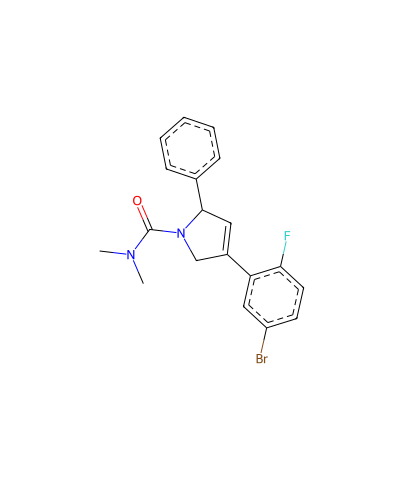 CN(C)C(=O)N1CC(c2cc(Br)ccc2F)=CC1c1ccccc1